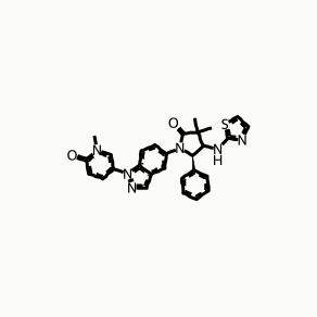 Cn1cc(-n2ncc3cc(N4C(=O)C(C)(C)C(Nc5nccs5)[C@H]4c4ccccc4)ccc32)ccc1=O